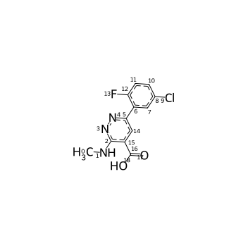 CNc1nnc(-c2cc(Cl)ccc2F)cc1C(=O)O